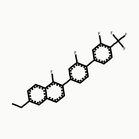 CCc1ccc2c(F)c(-c3ccc(-c4ccc(C(F)(F)F)c(F)c4)c(F)c3)ccc2c1